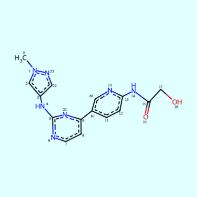 Cn1cc(Nc2nccc(-c3ccc(NC(=O)CO)nc3)n2)cn1